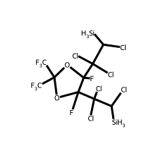 FC(F)(F)C1(C(F)(F)F)OC(F)(C(Cl)(Cl)C([SiH3])Cl)C(F)(C(Cl)(Cl)C([SiH3])Cl)O1